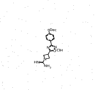 CCCCCCCCCCc1ccc(-c2noc(C3CN(C(=N)N)C3)n2)cc1.Cl